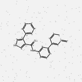 C=N/C=C(\C=C/C)c1cccc(NC(=O)c2c[nH]cc2-c2ccccc2)c1